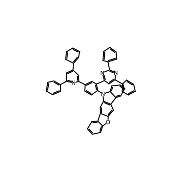 c1ccc(-c2cc(-c3ccccc3)nc(-c3ccc(-n4c5ccccc5c5cc6oc7ccccc7c6cc54)c(-c4cc(-c5ccccc5)nc(-c5ccccc5)n4)c3)c2)cc1